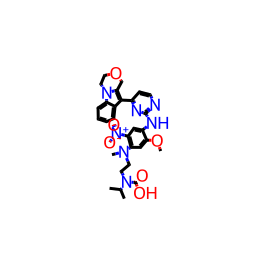 COc1cc(N(C)CCN(C(=O)O)C(C)C)c([N+](=O)[O-])cc1Nc1nccc(-c2c3n(c4ccccc24)CCOC3)n1